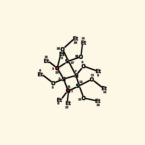 CCO[Si](OCC)(OCC)[Si](OCC)([Si](OCC)(OCC)OCC)[Si](OCC)(OCC)OCC